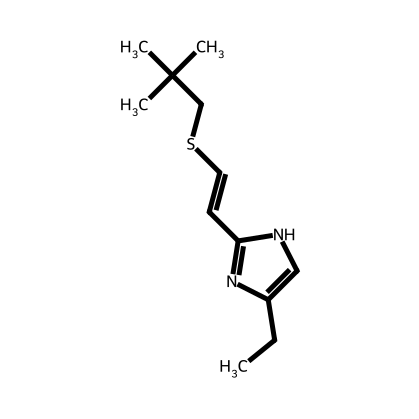 CCc1c[nH]c(C=CSCC(C)(C)C)n1